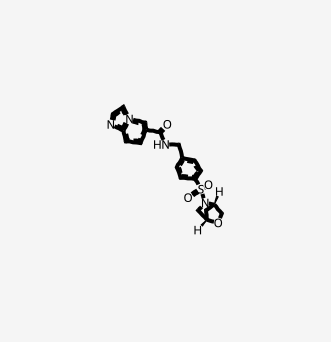 O=C(NCc1ccc(S(=O)(=O)N2C[C@@H]3C[C@H]2CO3)cc1)c1ccc2nccn2c1